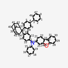 c1ccc(-c2ccc3c(c2)-c2cc(N(c4ccccc4)c4ccc5c(c4)oc4ccccc45)ccc2C32C3CC4CC(C3)CC2C4)cc1